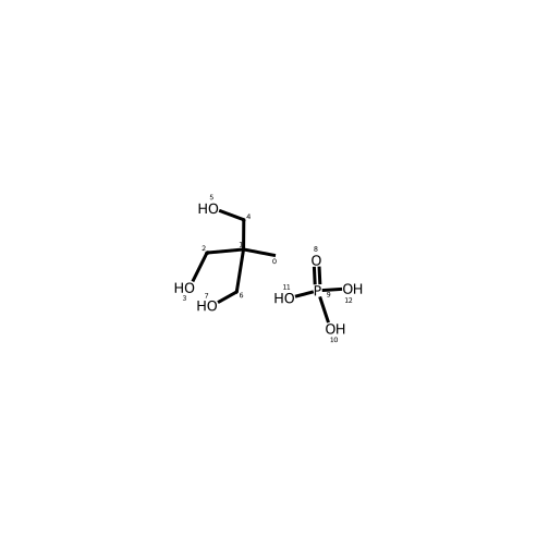 CC(CO)(CO)CO.O=P(O)(O)O